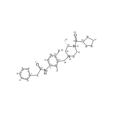 Cc1c(NC(=O)Cc2ccccc2)ccc(F)c1CN1CCN(C(=O)C2CCCC2)[C@@H](C)C1